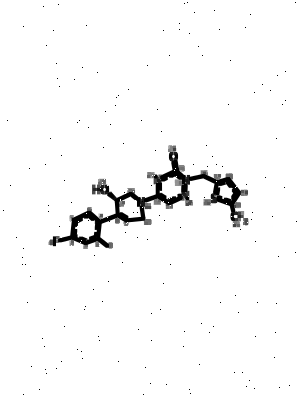 Cc1cc(F)ccc1C1=CCN(c2cnn(Cc3ccc(C(F)(F)F)s3)c(=O)n2)C[C@@H]1O